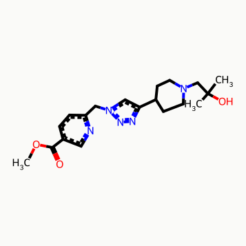 COC(=O)c1ccc(Cn2cc(C3CCN(CC(C)(C)O)CC3)nn2)nc1